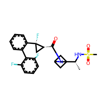 C[C@@H](NS(C)(=O)=O)C12CC(C1)N(C(=O)[C@@H]1C[C@@]1(F)c1ccccc1-c1c(F)cccc1F)C2